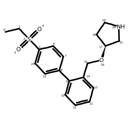 CCS(=O)(=O)c1ccc(-c2ccccc2CO[C@H]2CCNC2)cc1